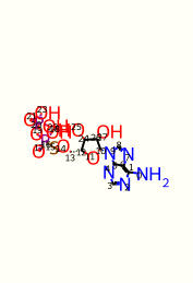 Nc1ncnc2c1ncn2[C@@H]1O[C@H](COSP(=O)(O)OP(=O)(O)O)C(O)C1O